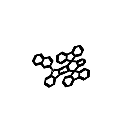 c1ccc2c(c1)-c1ccccc1C21c2ccccc2C2(c3ccccc3-c3ccccc32)c2cc3c(cc21)c1ccccc1n3-c1ccc2ccccc2c1